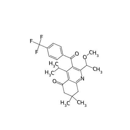 COC(C)c1nc2c(c(C(C)C)c1C(=O)c1ccc(C(F)(F)F)cc1)C(=O)CC(C)(C)C2